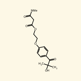 CNC(=O)CC(=O)OCCOc1ccc(C(=O)C(C)(C)O)cc1